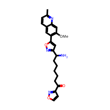 COc1cc2nc(C)ccc2cc1-c1cc(C(N)CCCCCC(=O)c2ccon2)no1